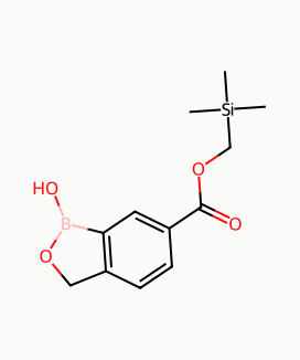 C[Si](C)(C)COC(=O)c1ccc2c(c1)B(O)OC2